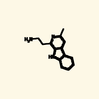 Cc1cc2c([nH]c3ccccc32)c(CCN)n1